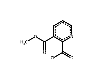 COC(=O)c1cccnc1C(=O)Cl